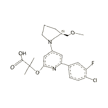 COC[C@@H]1CCCN1c1cc(OC(C)(C)C(=O)O)nc(-c2ccc(Cl)c(F)c2)c1